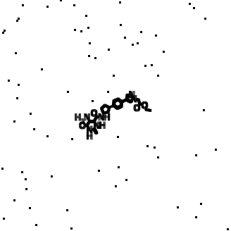 C=C1NC(=O)C(N)=C(C(=O)N[C@H]2CC[C@@H](c3ccc(-c4cnn(CC(=O)OCC)c4)cc3)C2)N1